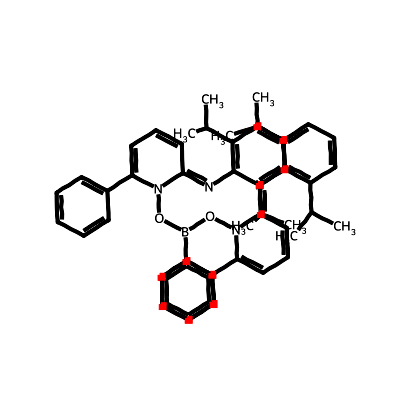 CC(C)c1cccc(C(C)C)c1N=c1cccc(-c2ccccc2)n1OB(On1c(-c2ccccc2)cccc1=Nc1c(C(C)C)cccc1C(C)C)c1ccccc1